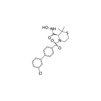 CC1(C)SCCN(S(=O)(=O)c2ccc(-c3cccc(Cl)c3)cc2)[C@H]1C(=O)NO